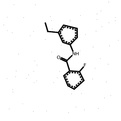 CCc1cccc(NC(=O)c2ccccc2F)c1